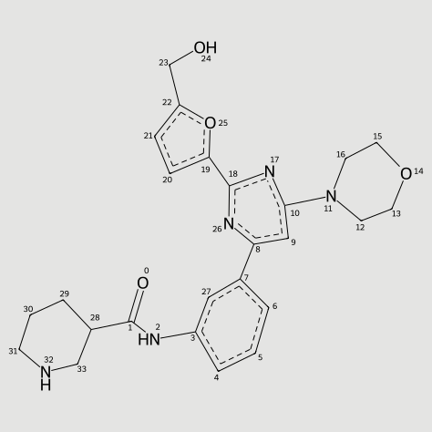 O=C(Nc1cccc(-c2cc(N3CCOCC3)nc(-c3ccc(CO)o3)n2)c1)C1CCCNC1